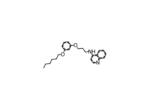 CCCCCCOc1cccc(OCCCNc2ccnc3ccccc23)c1